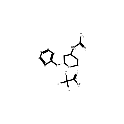 O=C(NC1CCN[C@H](Cc2ccccc2)C1)C(F)(F)F.O=C(O)C(F)(F)F